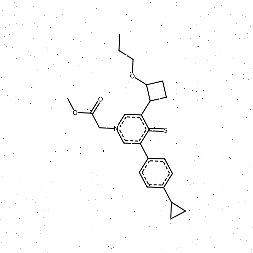 CCCOC1CCC1c1cn(CC(=O)OC)cc(-c2ccc(C3CC3)cc2)c1=S